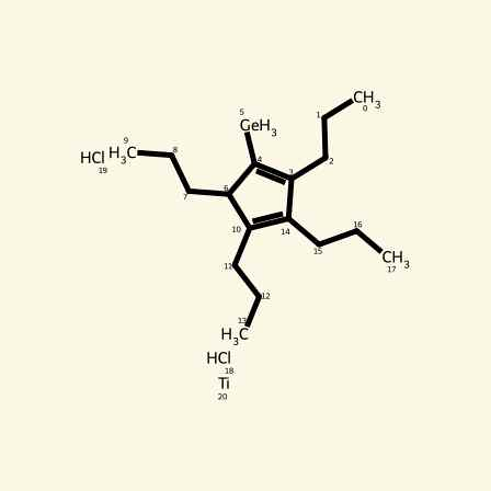 CCCC1=[C]([GeH3])C(CCC)C(CCC)=C1CCC.Cl.Cl.[Ti]